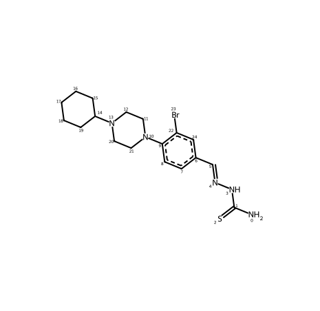 NC(=S)N/N=C/c1ccc(N2CCN(C3CCCCC3)CC2)c(Br)c1